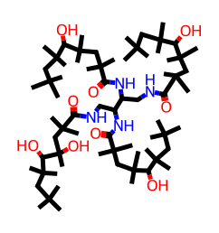 CC(C)(C)CC(C)(C)C(O)C(C)(C)CC(C)(C)C(=O)NCC(NC(=O)C(C)(C)CC(C)(C)C(O)C(C)(C)CC(C)(C)C)C(CNC(=O)C(C)(C)CC(C)(O)C(O)C(C)(C)CC(C)(C)C)NC(=O)C(C)(C)CC(C)(C)C(O)C(C)(C)CC(C)(C)C